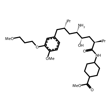 COCCCOc1cc(C[C@@H](C[C@H](N)[C@@H](O)C[C@H](C(=O)NC2CCC(C(=O)OC)CC2)C(C)C)C(C)C)ccc1OC